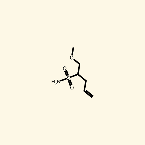 C=CCC(COC)S(N)(=O)=O